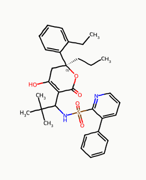 CCC[C@@]1(c2ccccc2CC)CC(O)=C(C(NS(=O)(=O)c2ncccc2-c2ccccc2)C(C)(C)C)C(=O)O1